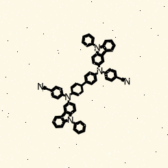 N#Cc1ccc(N(C2=CCC(c3ccc(N(c4ccc(C#N)cc4)c4ccc5c(c4)c4ccccc4n5-c4ccccc4)cc3)C=C2)c2ccc3c(c2)c2ccccc2n3-c2ccccc2)cc1